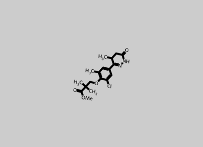 COC(=O)C(C)(C)COc1c(C)cc(C2=NNC(=O)CC2C)cc1Cl